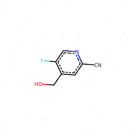 N#Cc1cc(CO)c(F)cn1